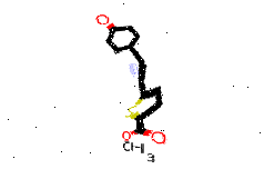 COC(=O)c1ccc(/C=C/C2CCC(=O)CC2)s1